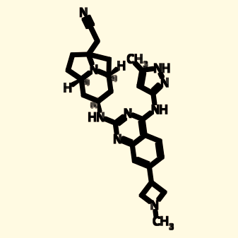 Cc1cc(Nc2nc(N[C@H]3C[C@@H]4CCC5(CC#N)C[C@H](C3)N45)nc3cc(C4CN(C)C4)ccc23)n[nH]1